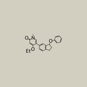 CCOc1cc(=O)n(C)cc1-c1ccc2c(c1)C(Oc1ccccc1)CC2